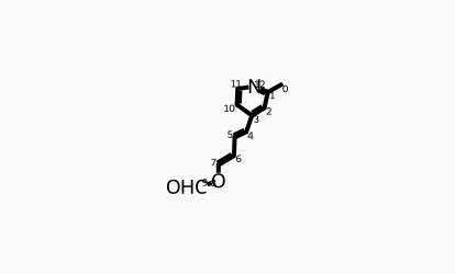 Cc1cc(/C=C/C=C/OC=O)ccn1